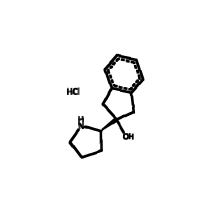 Cl.OC1([C@H]2CCCN2)Cc2ccccc2C1